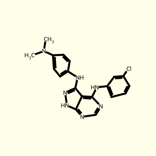 CN(C)c1ccc(Nc2n[nH]c3ncnc(Nc4cccc(Cl)c4)c23)cc1